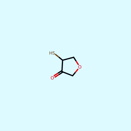 O=C1COCC1S